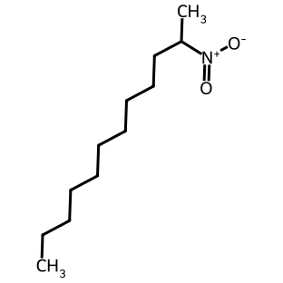 CCCCCCCCCCC(C)[N+](=O)[O-]